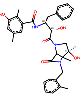 Cc1cc(O)c(C)c(C(=O)N[C@@H](Cc2ccccc2)[C@H](O)C(=O)N2C[C@@](C)(O)C3(C)C2C(=O)N3Cc2ccccc2C)c1